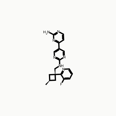 C[C@H]1C[C@](CNc2ncc(-c3ccnc(N)n3)cn2)(c2ncccc2F)C1